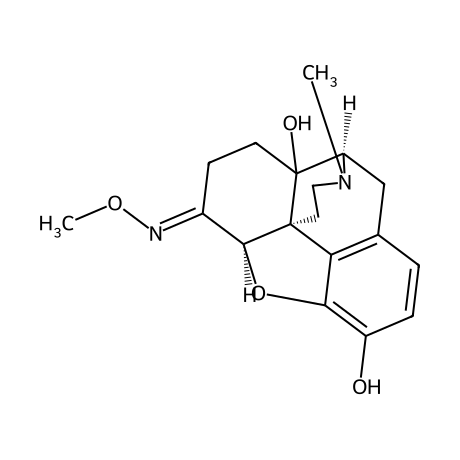 CON=C1CCC2(O)[C@H]3Cc4ccc(O)c5c4[C@@]2(CCN3C)[C@H]1O5